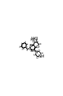 Cl.Cl.c1ccc(CS2=NC(N3CCNCC3)=C3OCCCC3=N2)cc1